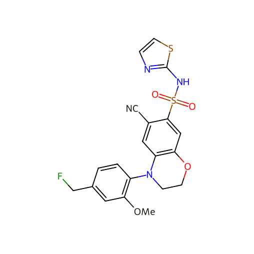 COc1cc(CF)ccc1N1CCOc2cc(S(=O)(=O)Nc3nccs3)c(C#N)cc21